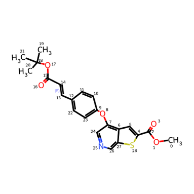 COC(=O)c1cc2c(Oc3ccc(/C=C/C(=O)OC(C)(C)C)cc3)cncc2s1